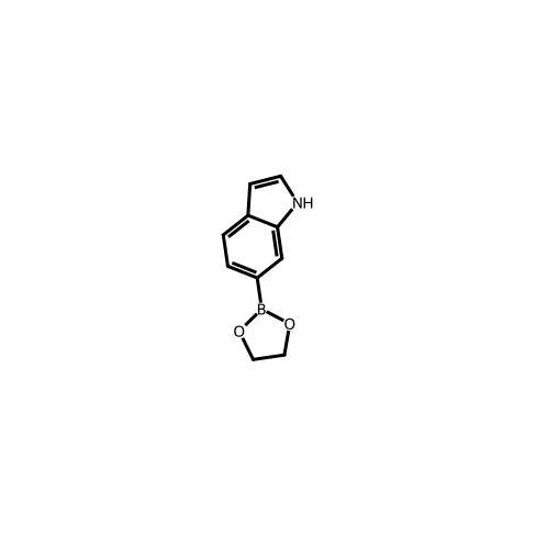 c1cc2ccc(B3OCCO3)cc2[nH]1